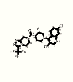 C[C@@H]1CN(c2c(Cl)cnc3cc(Cl)ccc23)CC[C@@H]1C(=O)N1CCn2c(nnc2C(F)(F)F)C1